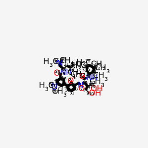 CCOc1c(CN2O[C@@H](CO)[C@@H]([C@H](C)O)[C@H]2C(=O)N[C@H]2C[C@@H](C)C(C)(C)[C@@H](C)[C@@H]2C)cccc1-c1cc(C(=O)N[C@@H](CC(C)C)CN(C)C)cc(N(C)C)c1